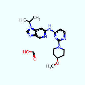 COC1CCN(c2nccc(Nc3cc4c(cn3)ncn4C(C)C)n2)CC1.O=CO